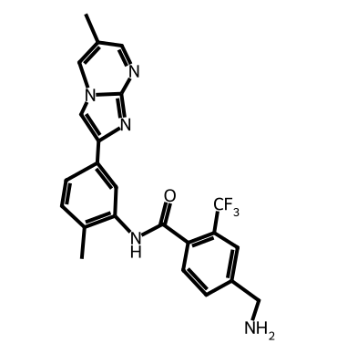 Cc1cnc2nc(-c3ccc(C)c(NC(=O)c4ccc(CN)cc4C(F)(F)F)c3)cn2c1